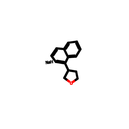 [NaH].c1ccc2c(C3CCOC3)cccc2c1